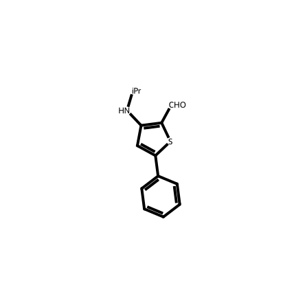 CC(C)Nc1cc(-c2ccccc2)sc1C=O